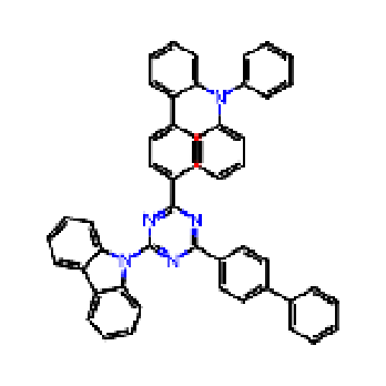 c1ccc(-c2ccc(-c3nc(-c4ccc(-c5ccccc5N(c5ccccc5)c5ccccc5)cc4)nc(-n4c5ccccc5c5ccccc54)n3)cc2)cc1